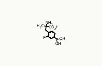 C[C@](N)(Cc1ccc(B(O)O)cc1F)C(=O)O